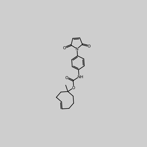 CC1(OC(=O)Nc2ccc(N3C(=O)C=CC3=O)cc2)CC/C=C/CCC1